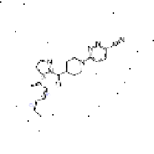 C=C(/C=C\C=C/C)[C@@H]1CC=NN1C(=O)C1CCN(c2ccc(C#N)nn2)CC1